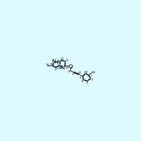 Cc1cccc(C#CCOc2ccn3nc(C)cc3n2)c1